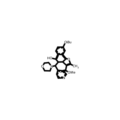 COC(=O)C1=C(C)OC2=c3cc(OCC(C)C)ccc3=C(O)C(C(c3ccncc3)N3CCOCC3)C12